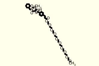 COCCOCCOCCOCCOCCOCCOCCOCCOCCOC(=O)/C=C/c1ccc(-c2nc3c(=O)n(CC4CCCCC4)c(=O)n(C)c3[nH]2)cc1